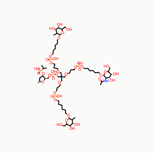 CC(=O)NC1[C@H](OCCCCCCOP(=O)(O)OCCCOCC(COCCCOP(=O)(O)OCCCCCCO[C@@H]2OC(CO)[C@H](O)[C@H](O)C2C)(COCCCOP(=O)(O)OCCCCCCO[C@@H]2OC(CO)[C@H](O)[C@H](O)C2C)COP(=O)(O)OC[C@H]2O[C@@H](C)CC2OP(=O)(O)C(C)C)OC(CO)[C@H](O)[C@@H]1O